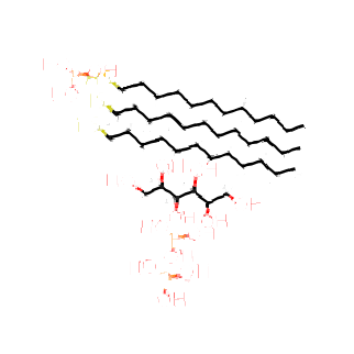 CCCCCCCCCCCCS.CCCCCCCCCCCCS.CCCCCCCCCCCCS.OCC(O)C(O)C(O)C(O)CO.OP(O)O.OP(O)O.OP(O)O